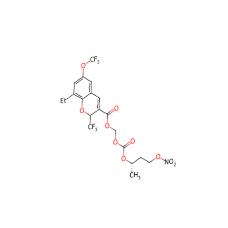 CCc1cc(OC(F)(F)F)cc2c1OC(C(F)(F)F)C(C(=O)OCOC(=O)O[C@@H](C)CCO[N+](=O)[O-])=C2